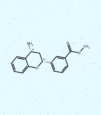 COC(=O)c1cccc([C@H]2C[C@@H](N)c3ccccc3O2)c1